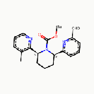 Cc1cccnc1[C@@H]1CCC[C@H](c2cccc(C=O)n2)N1C(=O)OC(C)(C)C